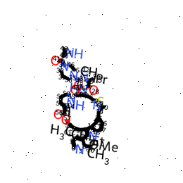 CCn1c(-c2cccnc2[C@H](C)OC)c2c3cc(ccc31)-c1csc(n1)C[C@H](NC(=O)C(C(C)C)N(C)C(=O)N1CCCN(C(=O)[C@@H]3CN3)CC1)C(=O)N1CCC[C@H](N1)C(=O)OCC(C)(C)C2